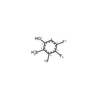 Bc1c(O)cc(F)c(F)c1F